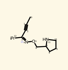 CC#C/C(=N\OCC1CCCN1)C(C)C